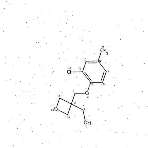 OCC1(COc2ccc(C(F)(F)F)cc2Cl)COC1